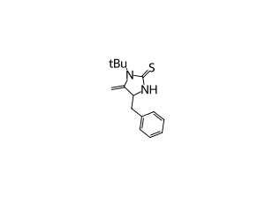 C=C1C(Cc2ccccc2)NC(=S)N1C(C)(C)C